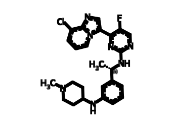 C[C@H](Nc1ncc(F)c(-c2cnc3c(Cl)cccn23)n1)c1cccc(NC2CCN(C)CC2)c1